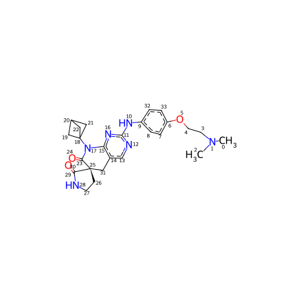 CN(C)CCOc1ccc(Nc2ncc3c(n2)N(C24CC(C2)C4)C(=O)[C@]2(CCNC2=O)C3)cc1